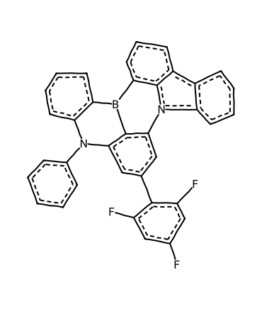 Fc1cc(F)c(-c2cc3c4c(c2)-n2c5ccccc5c5cccc(c52)B4c2ccccc2N3c2ccccc2)c(F)c1